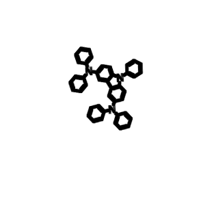 c1ccc(N(c2ccccc2)c2ccc3c(c2)c2cc(N(c4ccccc4)c4ccccc4)ccc2n3-c2ccccc2)cc1